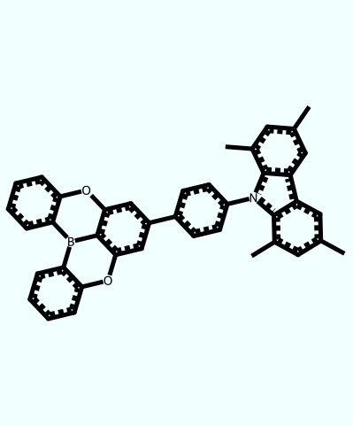 Cc1cc(C)c2c(c1)c1cc(C)cc(C)c1n2-c1ccc(-c2cc3c4c(c2)Oc2ccccc2B4c2ccccc2O3)cc1